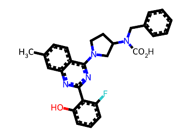 Cc1ccc2c(N3CCC(N(Cc4ccccc4)C(=O)O)C3)nc(-c3c(O)cccc3F)nc2c1